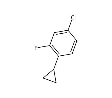 Fc1cc(Cl)ccc1C1CC1